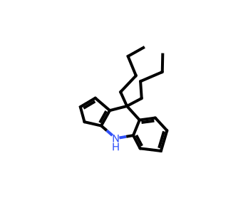 CCCCC1(CCCC)C2=C(CC=C2)Nc2ccccc21